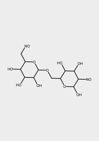 O=NCC1OC(OCC2OC(O)C(N=O)C(O)C2O)C(O)C(O)C1O